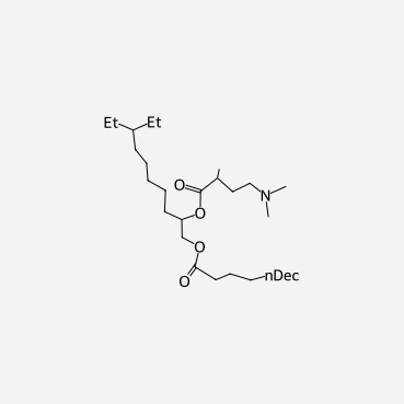 CCCCCCCCCCCCCC(=O)OCC(CCCCCC(CC)CC)OC(=O)C(C)CCN(C)C